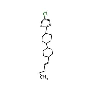 CCCC=CC1CCC(C2CCC(c3ccc(Cl)cc3)CC2)CC1